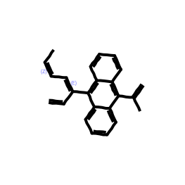 C=C/C(=C\C=C/C)c1c2ccccc2c(C(=C)C)c2ccccc12